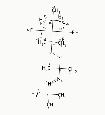 CC(C)(C)N=NC(C)(C)CCC(C)(C)C(C(C)(C)C)(C(F)(F)F)C(F)(F)F